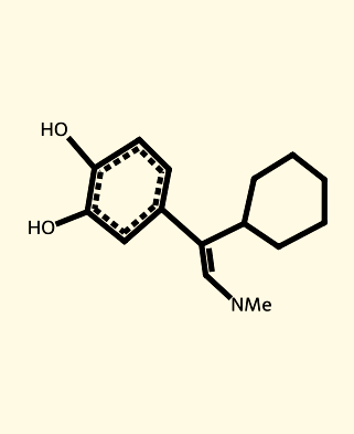 CNC=C(c1ccc(O)c(O)c1)C1CCCCC1